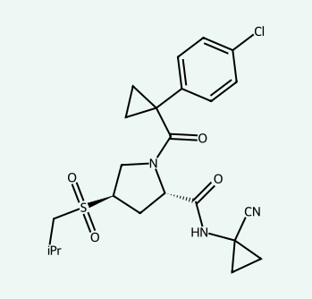 CC(C)CS(=O)(=O)[C@@H]1C[C@@H](C(=O)NC2(C#N)CC2)N(C(=O)C2(c3ccc(Cl)cc3)CC2)C1